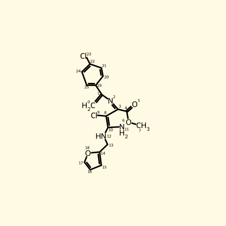 C=C(/N=C(C(=O)OC)\C(Cl)=C(/N)NCc1ccco1)c1ccc(Cl)cc1